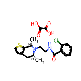 C[C@@H]1Cc2ccsc2[C@H](C)N1CCNC(=O)c1ccccc1Cl.O=C(O)C(=O)O